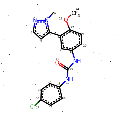 Cn1nccc1-c1cc(NC(=O)Nc2ccc(Cl)cc2)ccc1OC(F)(F)F